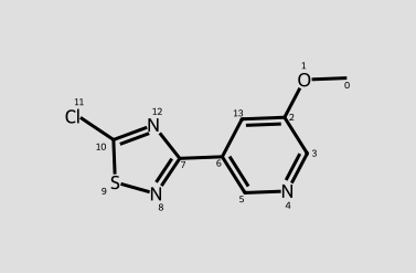 COc1cncc(-c2nsc(Cl)n2)c1